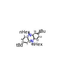 CCCCCCN1c2ccc(C(C)(C)C)cc2N(CCCCCC)c2ccc(C(C)(C)C)cc21